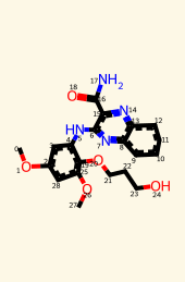 COc1cc(Nc2nc3ccccc3nc2C(N)=O)c(OCCCO)c(OC)c1